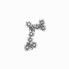 c1ccc(-c2nc(-c3ccc(-c4ccc(-c5nc6ccccc6c6sc7ccccc7c56)cc4)cc3)nc(-c3ccc(-n4c5ccccc5c5ccccc54)cc3)n2)cc1